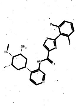 CN[C@@H]1[C@H](N)C[C@H](c2ccncc2NC(=O)c2csc(-c3c(F)cccc3F)n2)C[C@@H]1C